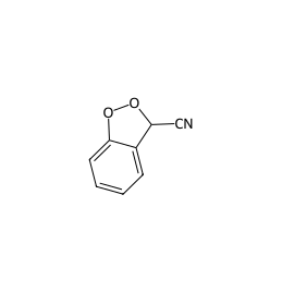 N#CC1OOc2ccccc21